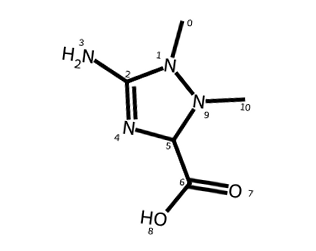 CN1C(N)=NC(C(=O)O)N1C